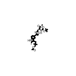 COC(=O)[C@H](Cc1nc(-c2ccc3[nH]c(I)c(CC(C)(C)COC(C)=O)c3c2)cs1)NC(=O)OC(C)(C)C